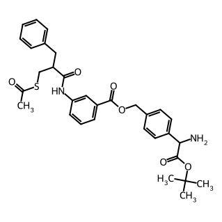 CC(=O)SCC(Cc1ccccc1)C(=O)Nc1cccc(C(=O)OCc2ccc(C(N)C(=O)OC(C)(C)C)cc2)c1